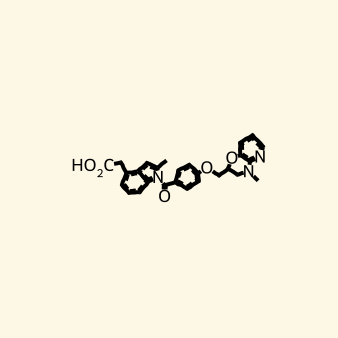 Cc1cc2c(CC(=O)O)cccc2n1C(=O)c1ccc(OCC2CN(C)c3ncccc3O2)cc1